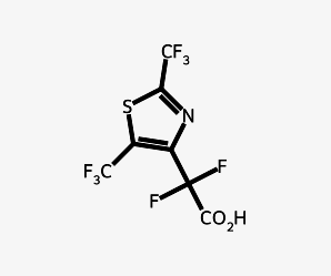 O=C(O)C(F)(F)c1nc(C(F)(F)F)sc1C(F)(F)F